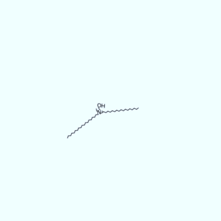 CCCCCCCCCCCCCCCCCCC[N+](CC)(CCO)CCCCCCCCCCCCCCCCCC